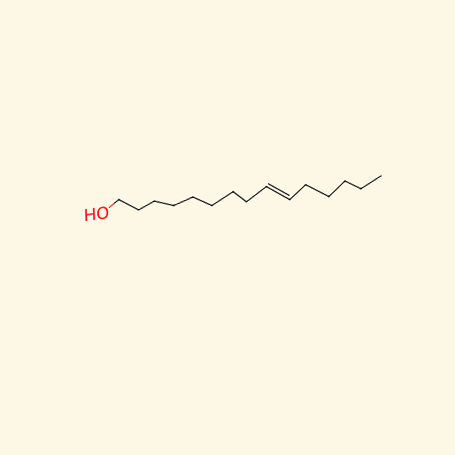 CCCCCC=CCCCCCCCCO